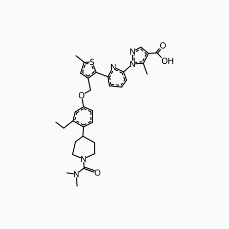 CCc1cc(OCc2cc(C)sc2-c2cccc(-n3ncc(C(=O)O)c3C)n2)ccc1C1CCN(C(=O)N(C)C)CC1